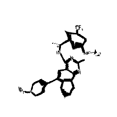 Cc1nc(N[C@H](C)c2cc(N)cc(C(F)(F)F)c2)c2cc(C3=CCN(C(C)C)CC3)c3c(c2n1)CCC3